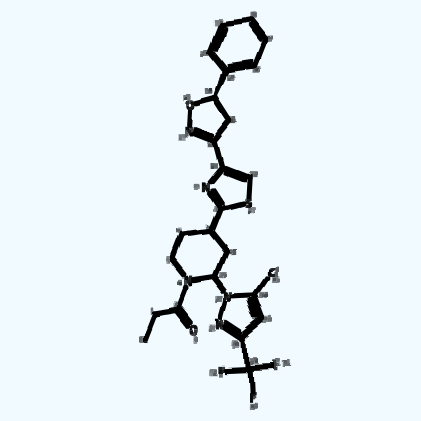 CCC(=O)N1CCC(c2nc(C3=NO[C@@H](c4ccccc4)C3)cs2)CC1n1nc(C(F)(F)F)cc1Cl